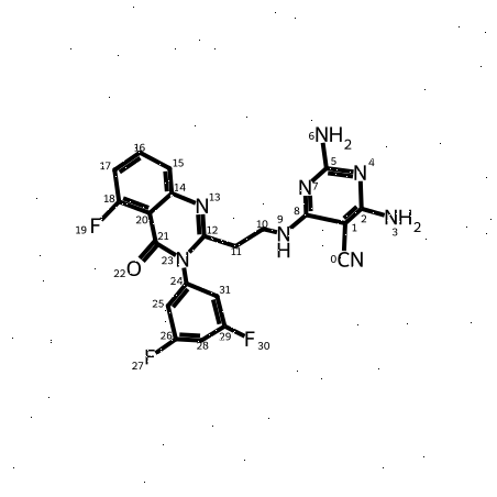 N#Cc1c(N)nc(N)nc1NCCc1nc2cccc(F)c2c(=O)n1-c1cc(F)cc(F)c1